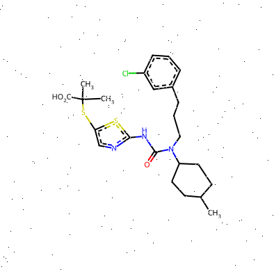 CC1CCC(N(CCCc2cccc(Cl)c2)C(=O)Nc2ncc(SC(C)(C)C(=O)O)s2)CC1